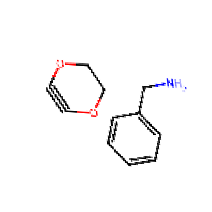 C1#COCCO1.NCc1ccccc1